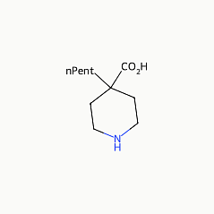 CCCCCC1(C(=O)O)CCNCC1